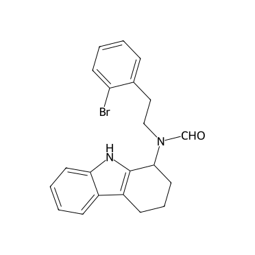 O=CN(CCc1ccccc1Br)C1CCCc2c1[nH]c1ccccc21